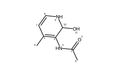 CC(=O)NC1=C(C)C=CNC1O